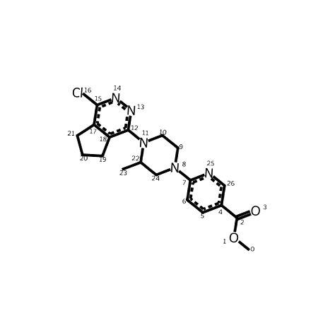 COC(=O)c1ccc(N2CCN(c3nnc(Cl)c4c3CCC4)C(C)C2)nc1